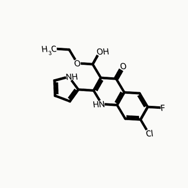 CCOC(O)c1c(-c2ccc[nH]2)[nH]c2cc(Cl)c(F)cc2c1=O